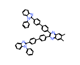 Cc1cc2nc(-c3ccc(-c4ccc(-c5nc6ccccc6n5-c5ccccc5)cc4)cc3)c(-c3ccc(-c4ccc(-c5nc6ccccc6n5-c5ccccc5)cc4)cc3)nc2cc1C